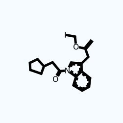 C=C(Cc1cn(C(=O)CC2CCCC2)c2ccccc12)OCI